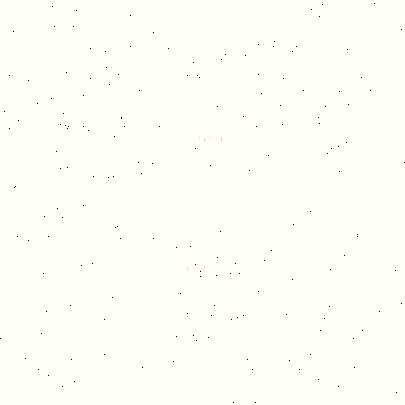 [CH2]CCCCC#CCCCCC